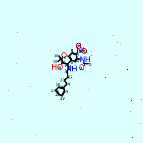 CC(=O)Nc1cc2c(cc1[N+](=O)[O-])OC(C)(C)[C@@H](O)[C@@H]2NCCCCc1ccccc1